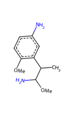 COc1ccc(N)cc1C(C)C(N)OC